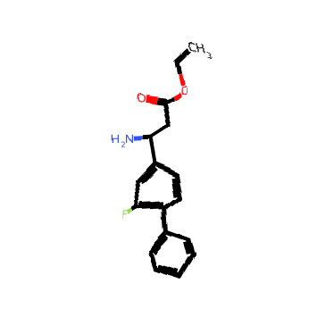 CCOC(=O)CC(N)c1ccc(-c2ccccc2)c(F)c1